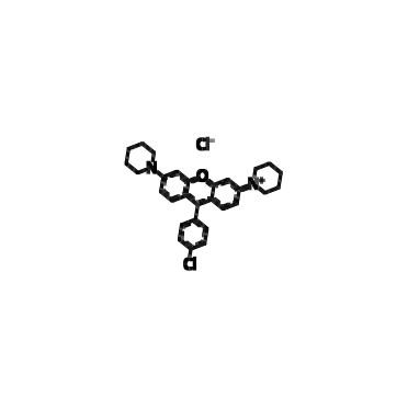 Clc1ccc(-c2c3ccc(=[N+]4CCCCC4)cc-3oc3cc(N4CCCCC4)ccc23)cc1.[Cl-]